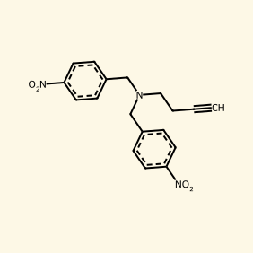 C#CCCN(Cc1ccc([N+](=O)[O-])cc1)Cc1ccc([N+](=O)[O-])cc1